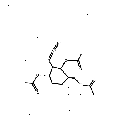 CC(=O)OC[C@H]1CC[C@H](OC(C)=O)C(N=[N+]=[N-])[C@H]1OC(C)=O